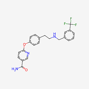 NC(=O)c1ccc(Oc2ccc(CCNCc3cccc(C(F)(F)F)c3)cc2)nc1